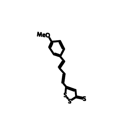 COc1ccc(C=CC=Cc2cc(=S)ss2)cc1